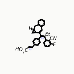 CC/C(=C(\C1=Cc2ccccc2C[C@H]2CC12)c1ccc(/C=C/C(=O)O)cc1)c1cccc(F)c1C#N